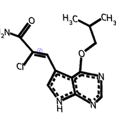 CC(C)COc1ncnc2[nH]cc(/C=C(\Cl)C(N)=O)c12